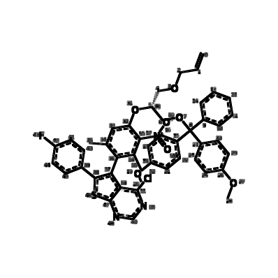 C=CCOC[C@H](COC(c1ccccc1)(c1ccc(OC)cc1)c1ccc(OC)cc1)Oc1cc(C)c(-c2c(-c3ccc(F)cc3)sc3ncnc(Cl)c23)c(C)c1[N+](=O)[O-]